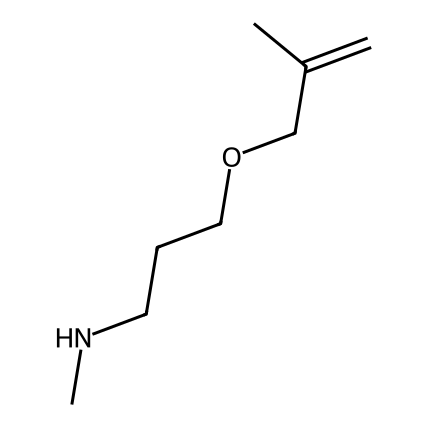 C=C(C)COCCCNC